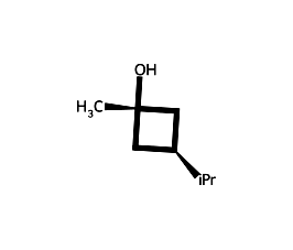 CC(C)[C@H]1C[C@](C)(O)C1